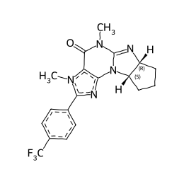 CN1C(=O)c2c(nc(-c3ccc(C(F)(F)F)cc3)n2C)N2C1=N[C@@H]1CCC[C@@H]12